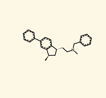 C[C@@H]1C[C@@H](CCN(C)Cc2ccccc2)c2ccc(-c3ccccc3)cc21